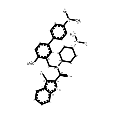 COc1ccc(-c2ccc(N(C)C(C)=O)cc2)cc1CN(C(=O)c1sc2ccccc2c1Cl)[C@H]1CC[C@H](N(C)Cl)CC1